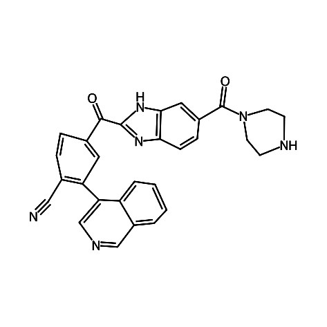 N#Cc1ccc(C(=O)c2nc3ccc(C(=O)N4CCNCC4)cc3[nH]2)cc1-c1cncc2ccccc12